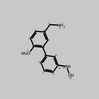 COc1ccc(CN)cc1-c1cccc(NO)c1